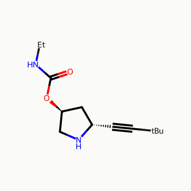 CCNC(=O)O[C@@H]1CN[C@@H](C#CC(C)(C)C)C1